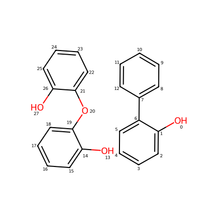 Oc1ccccc1-c1ccccc1.Oc1ccccc1Oc1ccccc1O